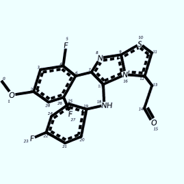 COc1cc(F)c(-c2nc3scc(CC=O)n3c2Nc2ccc(F)cc2)c(F)c1